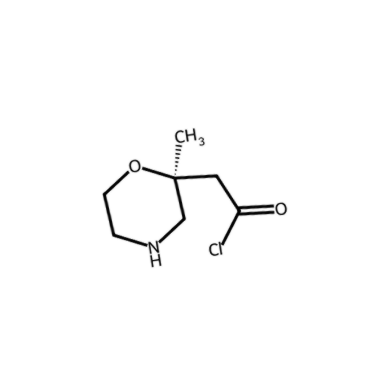 C[C@]1(CC(=O)Cl)CNCCO1